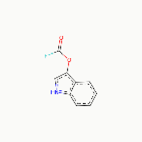 O=C(F)Oc1c[nH]c2ccccc12